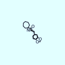 NC1(C(=O)/C=C/c2ccc3c(c2)OCO3)CCCCCC1